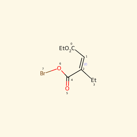 CCOC(=O)/C=C(/CC)C(=O)OBr